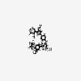 CCC(NC(C)=O)c1nc(-c2ccc(CC(CCO)NC(=O)c3ccc(OC(C)C(F)(F)F)c(Cl)c3)cc2)cn1CC